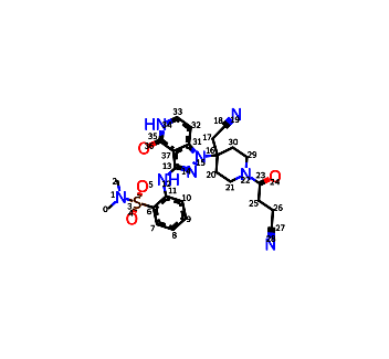 CN(C)S(=O)(=O)c1ccccc1Nc1nn(C2(CC#N)CCN(C(=O)CCC#N)CC2)c2cc[nH]c(=O)c12